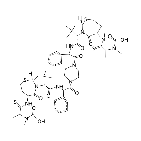 CC(C(=S)N[C@H]1CCS[C@H]2CC(C)(C)[C@@H](C(=O)NC(C(=O)N3CCN(C(=O)C(NC(=O)[C@H]4N5C(=O)[C@@H](NC(=S)C(C)N(C)C(=O)O)CCS[C@H]5CC4(C)C)c4ccccc4)CC3)c3ccccc3)N2C1=O)N(C)C(=O)O